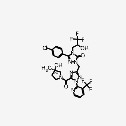 C[C@]1(O)CCN(C(=O)c2nc(Cn3nc(-c4ccc(Cl)cc4)n(CC(O)C(F)(F)F)c3=O)nn2-c2ncccc2C(F)(F)F)C1